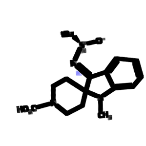 CN1c2ccccc2/C(=N\[S@+]([O-])C(C)(C)C)C12CCN(C(=O)O)CC2